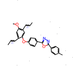 C/C=C/c1cc(Oc2ccc(-c3nnc(-c4ccc(C)cc4)o3)cc2)c(/C=C/C)cc1OC